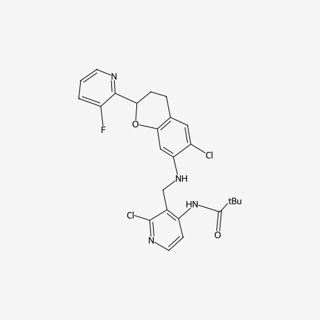 CC(C)(C)C(=O)Nc1ccnc(Cl)c1CNc1cc2c(cc1Cl)CCC(c1ncccc1F)O2